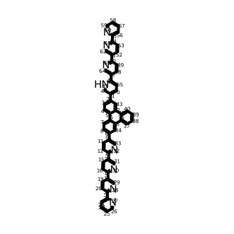 C1=C(c2ccc3c4ccc(-c5ccc(-c6ccc(-c7ccc(-c8ccccn8)nc7)nc6)nc5)cc4c4ccccc4c3c2)CNC(c2ccc(-c3ccc(-c4ccccn4)nc3)nc2)=C1